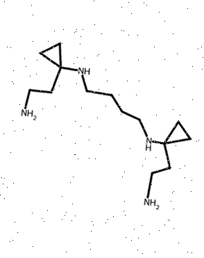 NCCC1(NCCCCNC2(CCN)CC2)CC1